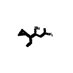 C=C/C(=C(\C=C(/C)N)C(C)(C)C)C1CC1